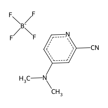 CN(C)c1ccnc(C#N)c1.F[B-](F)(F)F